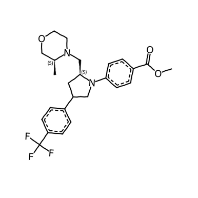 COC(=O)c1ccc(N2CC(c3ccc(C(F)(F)F)cc3)C[C@H]2CN2CCOC[C@@H]2C)cc1